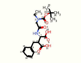 CCN(CC(=O)N[C@H](C(=O)O)C(Cc1ccccc1)C(=O)O)C(=O)OC(C)(C)C